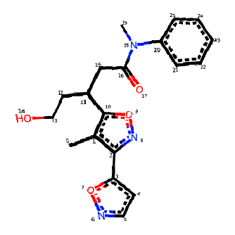 Cc1c(-c2ccno2)noc1C(CCO)CC(=O)N(C)c1ccccc1